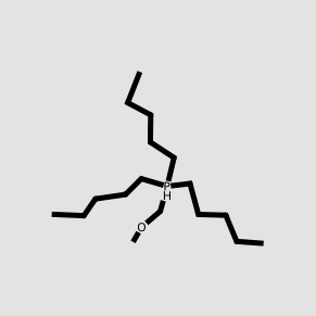 CCCCC[PH](CCCCC)(CCCCC)COC